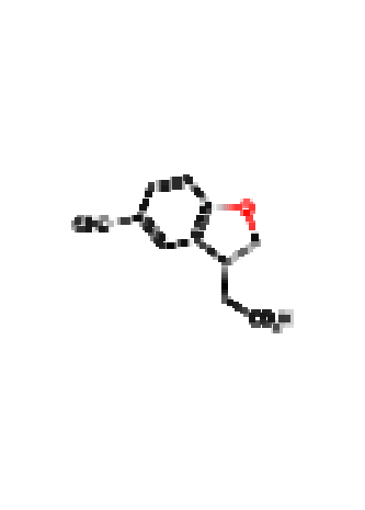 O=Cc1ccc2c(c1)C(CC(=O)O)CO2